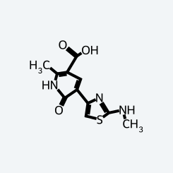 CNc1nc(-c2cc(C(=O)O)c(C)[nH]c2=O)cs1